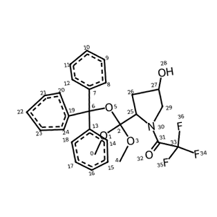 COC(OC)(OC(c1ccccc1)(c1ccccc1)c1ccccc1)C1CC(O)CN1C(=O)C(F)(F)F